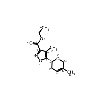 CCOC(=O)c1noc([C@H]2CC=C(C)CO2)c1C